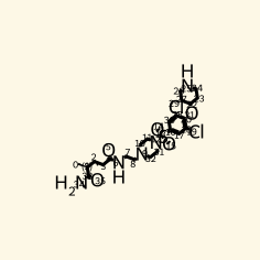 C[C@@H](C[CH]C(=O)NCCN1CCN(S(=O)(=O)c2cc(Cl)c(OC3CCNCC3)c(Cl)c2)CC1)C(N)=O